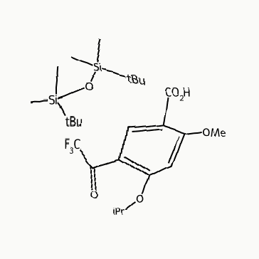 CC(C)(C)[Si](C)(C)O[Si](C)(C)C(C)(C)C.COc1cc(OC(C)C)c(C(=O)C(F)(F)F)cc1C(=O)O